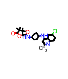 CC1(C)C(=O)O[C@](C)(C(=O)NC2CCC(Nc3cc(C(F)(F)F)nc4ccc(Cl)cc34)CC2)C1(C)C